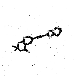 CC1(C)CC(=O)c2cc(C#Cc3nc4ccccn4n3)cnc2C1